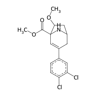 COC(=O)C12C=C(c3ccc(Cl)c(Cl)c3)CC(CC1OC)N2